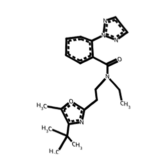 CCN(CCc1nc(C(C)(C)C)c(C)o1)C(=O)c1ccccc1-n1nccn1